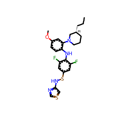 CCC[C@@H]1CCCN(c2cc(OC)ccc2Nc2c(F)cc(SNc3cscn3)cc2F)C1